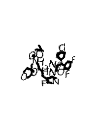 CC(C)(C)OC(=O)N1CC(CCc2c(F)cncc2NC(=O)[C@@H](N)[C@@H](c2ccc(Cl)cc2)c2cc(F)cc(F)c2)OC2(CCOCC2)C1